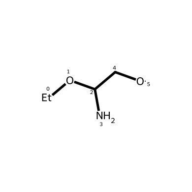 CCOC(N)C[O]